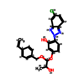 C=Cc1ccc(COC(Oc2ccc(-n3nc4ccc(Cl)cc4n3)c(O)c2)C(C)O)cc1